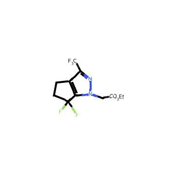 CCOC(=O)Cn1nc(C(F)(F)F)c2c1C(F)(F)CC2